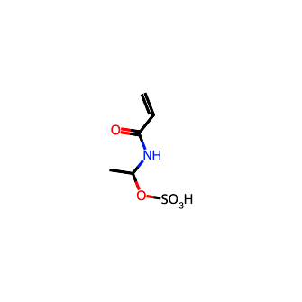 C=CC(=O)NC(C)OS(=O)(=O)O